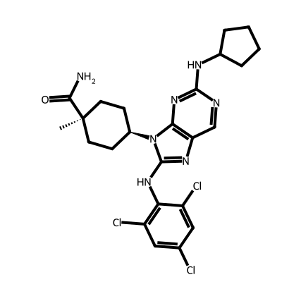 C[C@]1(C(N)=O)CC[C@@H](n2c(Nc3c(Cl)cc(Cl)cc3Cl)nc3cnc(NC4CCCC4)nc32)CC1